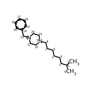 CC(C)CCCCCCN1CCN(Cc2ccccc2)CC1